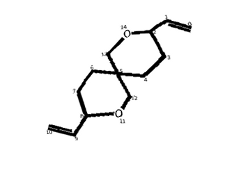 C=CC1CCC2(CCC(C=C)OC2)CO1